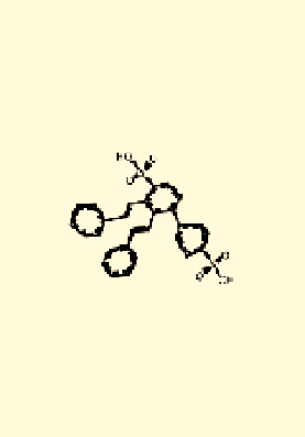 O=S(=O)(O)c1ccc(-c2ccc(S(=O)(=O)O)c(C=Cc3ccccc3)c2C=Cc2ccccc2)cc1